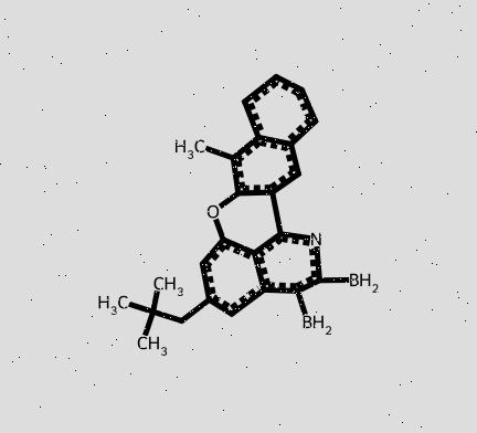 Bc1nc2c3c(cc(CC(C)(C)C)cc3c1B)Oc1c-2cc2ccccc2c1C